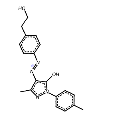 Cc1ccc(-n2nc(C)c(/N=N/c3ccc(CCO)cc3)c2O)cc1